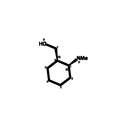 CN[C@H]1CCCC[C@H]1CO